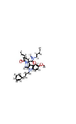 CCCCCC(NC(C)=O)(C(=O)N(C)CCCC)c1c(C)n(CCCc2ccccc2)c2ccc(OC)cc12